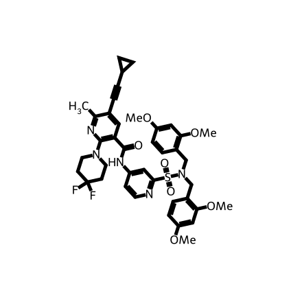 COc1ccc(CN(Cc2ccc(OC)cc2OC)S(=O)(=O)c2cc(NC(=O)c3cc(C#CC4CC4)c(C)nc3N3CCC(F)(F)CC3)ccn2)c(OC)c1